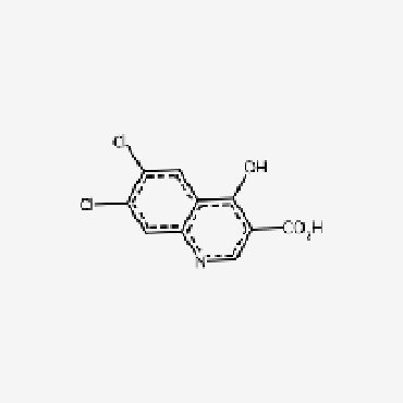 O=C(O)c1cnc2cc(Cl)c(Cl)cc2c1O